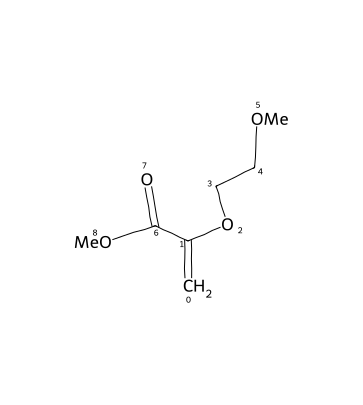 C=C(OCCOC)C(=O)OC